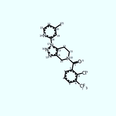 O=C(c1cccc(C(F)(F)F)c1Cl)N1CCc2c(nnn2-c2cc(I)ccn2)C1